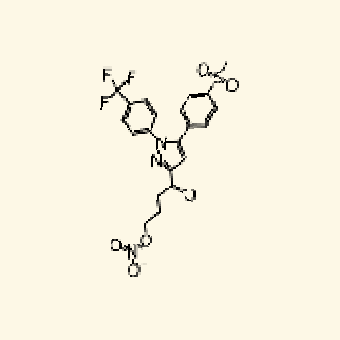 CS(=O)(=O)c1ccc(-c2cc(C(=O)CCCO[N+](=O)[O-])nn2-c2ccc(C(F)(F)F)cc2)cc1